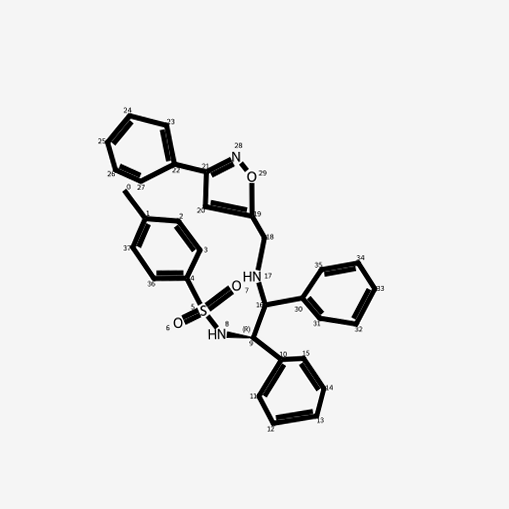 Cc1ccc(S(=O)(=O)N[C@H](c2ccccc2)C(NCc2cc(-c3ccccc3)no2)c2ccccc2)cc1